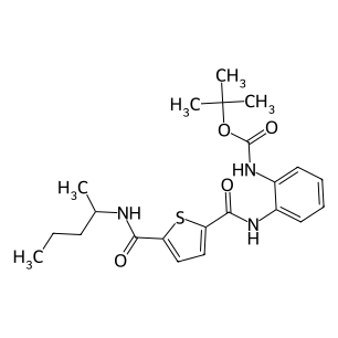 CCCC(C)NC(=O)c1ccc(C(=O)Nc2ccccc2NC(=O)OC(C)(C)C)s1